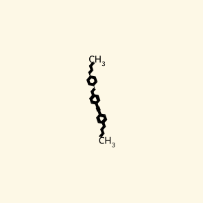 CCCCCc1ccc(C#Cc2ccc(CC[C@H]3CC[C@H](CCCCC)CC3)cc2)cc1